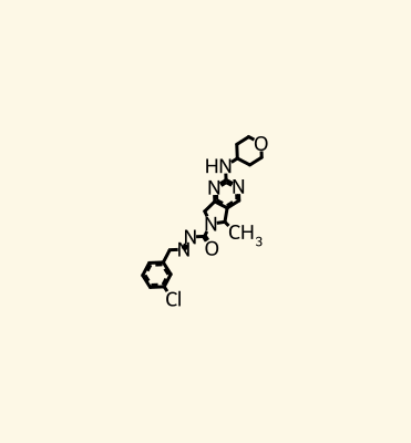 CC1c2cnc(NC3CCOCC3)nc2CN1C(=O)N=NCc1cccc(Cl)c1